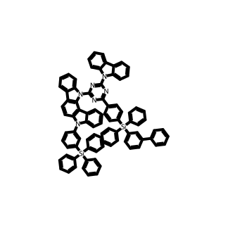 c1ccc(-c2cccc([Si](c3ccccc3)(c3ccccc3)c3ccc(-c4nc(-n5c6ccccc6c6ccccc65)nc(-n5c6ccccc6c6ccc7c(c8ccccc8n7-c7cccc([Si](c8ccccc8)(c8ccccc8)c8ccccc8)c7)c65)n4)cc3)c2)cc1